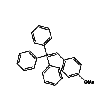 COc1ccc(C=P(c2ccccc2)(c2ccccc2)c2ccccc2)cc1